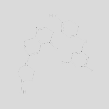 Cc1ccc(Nc2cc(F)cc(F)c2)cc1-n1cnc2ccc(N3CCN(C)CC3)cc2c1=O